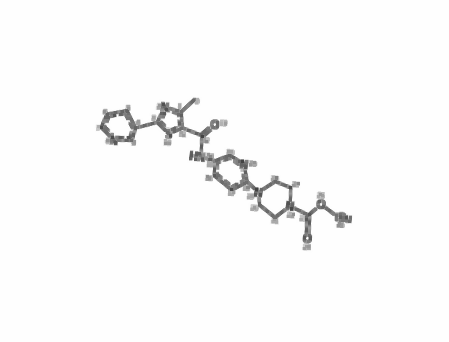 Cc1nc(-c2cccnc2)sc1C(=O)Nc1ccc(N2CCN(C(=O)OC(C)(C)C)CC2)nc1